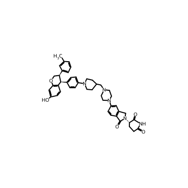 Cc1cccc([C@@H]2COc3cc(O)ccc3[C@@H]2c2ccc(N3CCC(CN4CCN(c5ccc6c(c5)CN([C@H]5CCC(=O)NC5=O)C6=O)CC4)CC3)cc2)c1